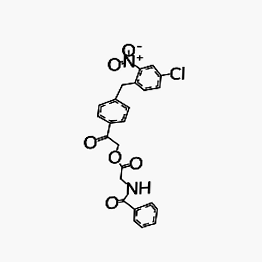 O=C(CNC(=O)c1ccccc1)OCC(=O)c1ccc(Cc2ccc(Cl)cc2[N+](=O)[O-])cc1